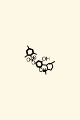 C=C(C)C1CCC(C)=CC1c1c(O)cc(OS(=O)(=O)c2c(C)cc(C)cc2C)cc1O